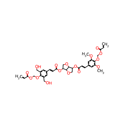 C=CC(=O)OCOc1c(CO)cc(/C=C/C(=O)OC2COC3C(OC(=O)/C=C/c4cc(OC)c(OCOC(=O)C=C)c(OC)c4)COC23)cc1CO